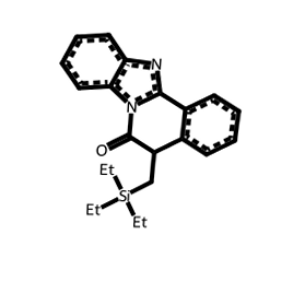 CC[Si](CC)(CC)CC1C(=O)n2c(nc3ccccc32)-c2ccccc21